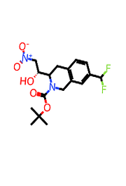 CC(C)(C)OC(=O)N1Cc2cc(C(F)F)ccc2CC1[C@H](O)C[N+](=O)[O-]